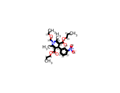 CCCOC(=O)C1=C(C)N(COCC)C(C)=C(C(=O)OCCC)C1c1cccc([N+](=O)[O-])c1